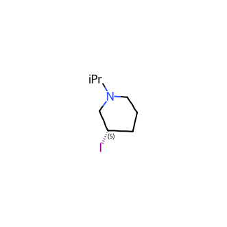 CC(C)N1CCC[C@H](I)C1